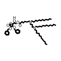 CCCCCCCCCCCCN(CCCCCCCCCCCC)CCCN(CCCCCCCCCCCC)CCCCCC(=O)OC[C@H](O)[C@H]1OC(=O)C(OCc2ccccc2)=C1OCc1ccccc1